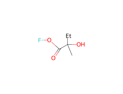 CCC(C)(O)C(=O)OF